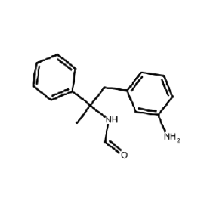 CC(Cc1cccc(N)c1)(NC=O)c1ccccc1